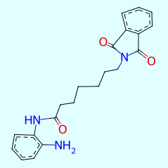 Nc1ccccc1NC(=O)CCCCCCN1C(=O)c2ccccc2C1=O